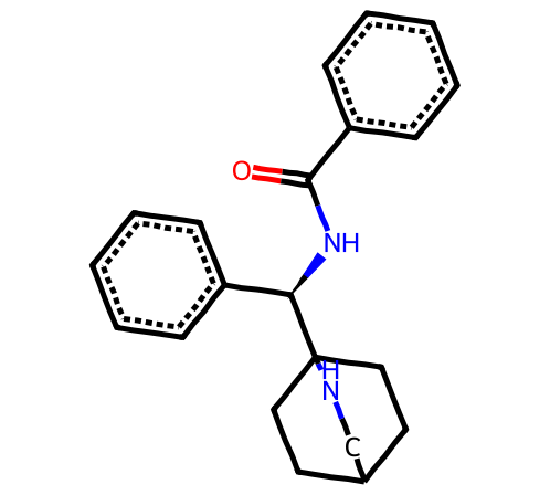 O=C(N[C@H](c1ccccc1)C12CCC(CC1)CN2)c1ccccc1